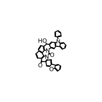 O=c1c2cc3oc4ccccc4c3cc2n2c(=O)n3c4c(ccc5ccc1c2c54)C(O)c1cc2c(cc1-3)c1ccccc1n2-c1ccccc1